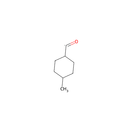 CC1CCC([C]=O)CC1